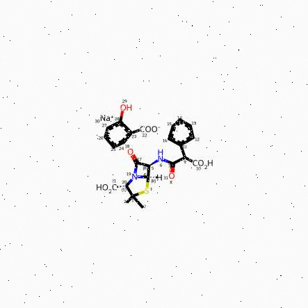 CC1(C)S[C@@H]2[C@H](NC(=O)C(C(=O)O)c3ccccc3)C(=O)N2[C@H]1C(=O)O.O=C([O-])c1ccccc1O.[Na+]